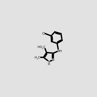 Cc1[nH]nc(Nc2cccc(Cl)c2)c1C(=O)O